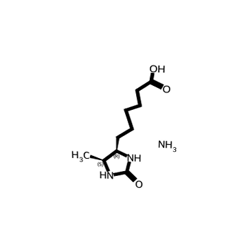 C[C@@H]1NC(=O)N[C@@H]1CCCCCC(=O)O.N